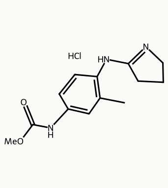 COC(=O)Nc1ccc(NC2=NCCC2)c(C)c1.Cl